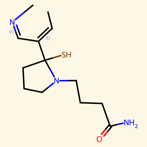 C/C=C(\C=N/C)C1(S)CCCN1CCCC(N)=O